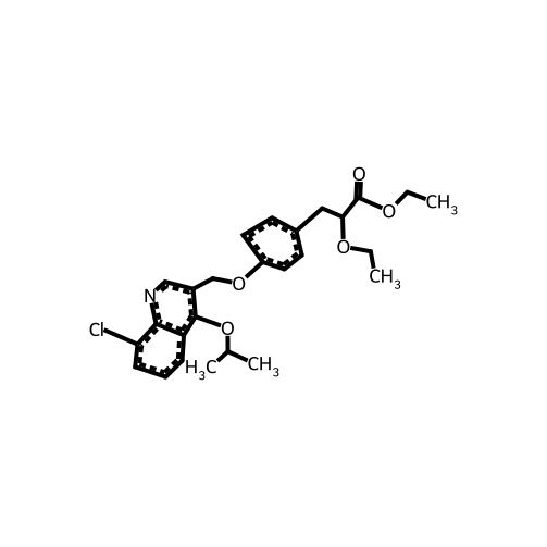 CCOC(=O)C(Cc1ccc(OCc2cnc3c(Cl)cccc3c2OC(C)C)cc1)OCC